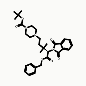 CC(C)(C)OC(=O)N1CCN(CCC(C)(C)[C@H](C(=O)OCc2ccccc2)N2C(=O)c3ccccc3C2=O)CC1